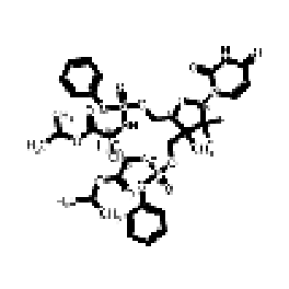 CC(C)OC(=O)[C@H](C)NP(=O)(OC[C@H]1O[C@@H](n2ccc(=O)[nH]c2=O)C(F)(F)C1(C)COP(=O)(N[C@@H](C)C(=O)OC(C)C)Oc1ccccc1)Oc1ccccc1